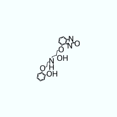 O=C1N=c2cccc(OCC(O)CNCCOc3ccccc3O)c2=N1